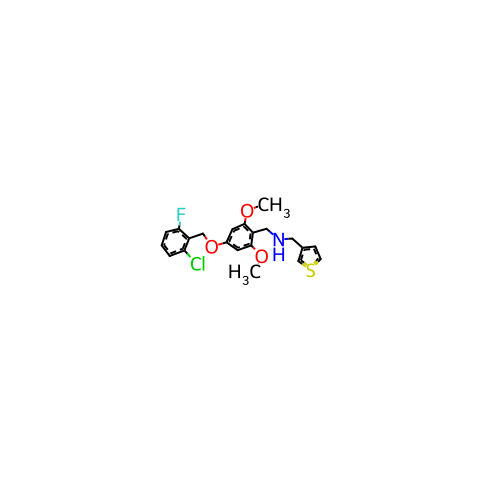 COc1cc(OCc2c(F)cccc2Cl)cc(OC)c1CNCc1ccsc1